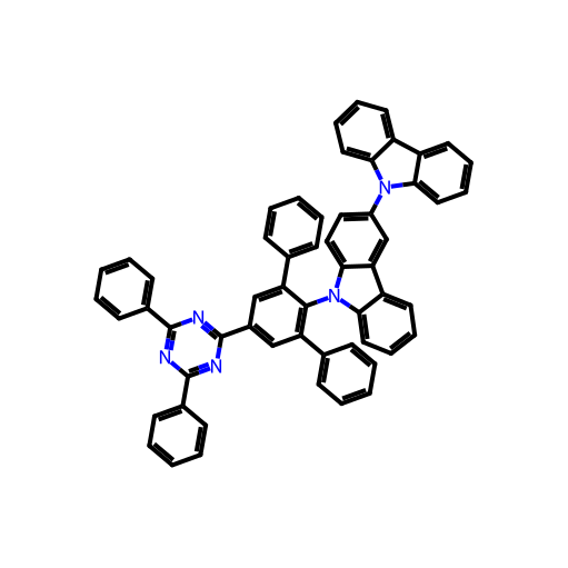 c1ccc(-c2nc(-c3ccccc3)nc(-c3cc(-c4ccccc4)c(-n4c5ccccc5c5cc(-n6c7ccccc7c7ccccc76)ccc54)c(-c4ccccc4)c3)n2)cc1